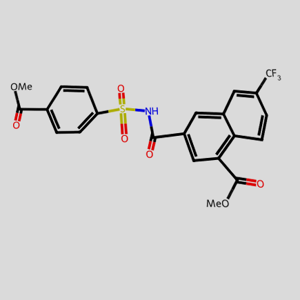 COC(=O)c1ccc(S(=O)(=O)NC(=O)c2cc(C(=O)OC)c3ccc(C(F)(F)F)cc3c2)cc1